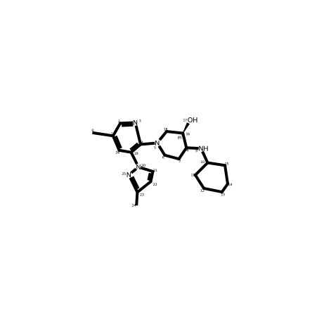 Cc1cnc(N2CCC(NC3CCCCC3)[C@H](O)C2)c(-n2ccc(C)n2)c1